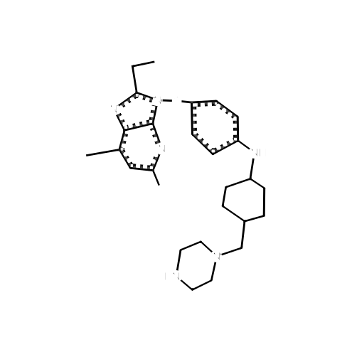 CCc1nc2c(C)cc(C)nc2n1Cc1ccc(NC2CCC(CN3CCNCC3)CC2)cc1